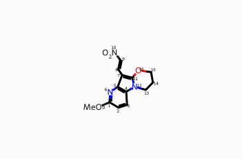 COc1ccc2c(n1)c(C=C[N+](=O)[O-])c1n2CCCO1